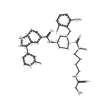 COc1cccc(F)c1CN1C[C@H](NC(=O)c2ccc3[nH]nc(-c4ccnc(C)c4)c3c2)CC[C@H]1C(=O)N(C)CCCCNC(=O)CC(C)(C)C